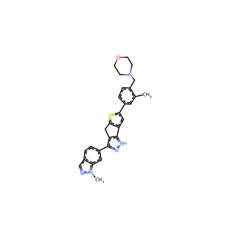 Cc1cc(-c2cc3c(s2)Cc2c(-c4ccc5cnn(C)c5c4)n[nH]c2-3)ccc1CN1CCOCC1